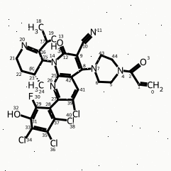 C=CC(=O)N1CCN(c2c(C#N)c(=O)n(C3C(C(C)C)=NCC[C@H]3C)c3nc(-c4c(F)c(O)c(Cl)c(Cl)c4Cl)c(Cl)cc23)CC1